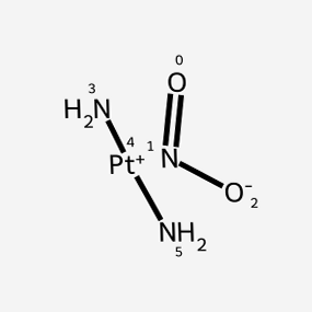 O=N[O-].[NH2][Pt+][NH2]